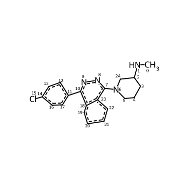 CNC1CCCN(c2nnc(-c3ccc(Cl)cc3)c3ccccc23)C1